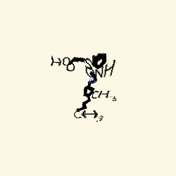 CCCCCc1ccc(/C=C/C(=O)Nc2ccccc2SCCCC(=O)O)cc1C